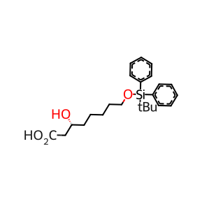 CC(C)(C)[Si](OCCCCC[C@@H](O)CC(=O)O)(c1ccccc1)c1ccccc1